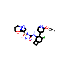 COc1cc(-c2c(F)cc3c(c2NC(=O)N=[S@@](N)(=O)c2cnn4c2OCCC4)CC3)ccn1